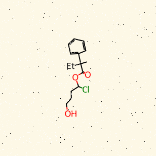 CCC(C)(C(=O)OC(Cl)CCCO)c1ccccc1